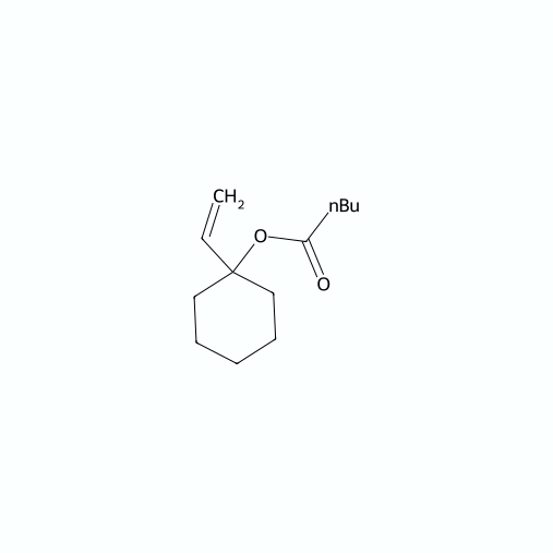 C=CC1(OC(=O)CCCC)CCCCC1